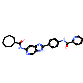 O=C(Nc1ccc(-c2nc3cc(NC(=O)C4CCCCCC4)ncc3[nH]2)cc1)c1ccccn1